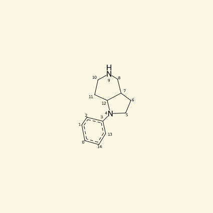 c1ccc(N2CCC3CNCCC32)cc1